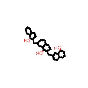 Oc1cccc2ccc(Cc3ccc4ccc(Cc5ccc6ccccc6c5O)cc4c3O)cc12